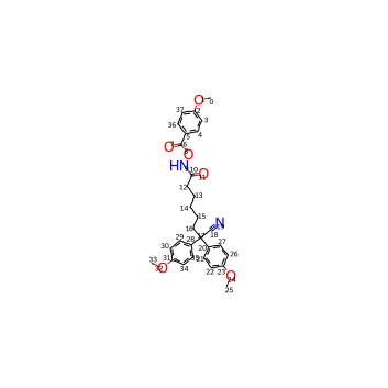 COc1ccc(C(=O)ONC(=O)CCCCCC(C#N)(c2ccc(OC)cc2)c2ccc(OC)cc2)cc1